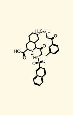 CNSC(=O)c1cccc(C[C@H](NS(=O)(=O)c2ccc3ccccc3c2)C(=O)C2NC(C(=O)O)CC3CCCCC32)c1